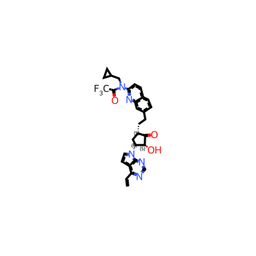 C=Cc1ncnc2c1ccn2[C@@H]1C[C@H](CCc2ccc3ccc(N(CC4CC4)C(=O)C(F)(F)F)nc3c2)C(=O)[C@H]1O